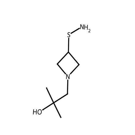 CC(C)(O)CN1CC(SN)C1